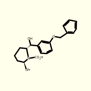 CCC[C@H]1CCC[C@H](C(O)c2cccc(OCc3ccccc3)c2)N1C(=O)O